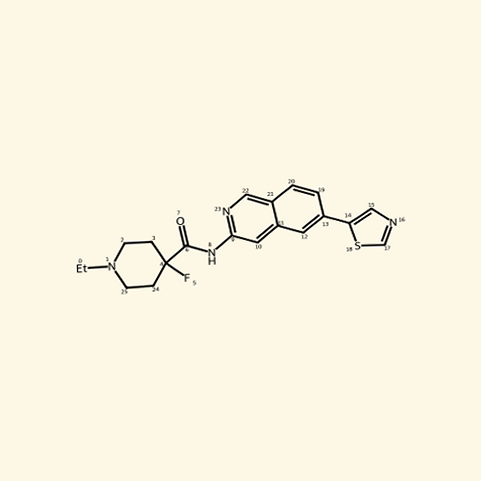 CCN1CCC(F)(C(=O)Nc2cc3cc(-c4cncs4)ccc3cn2)CC1